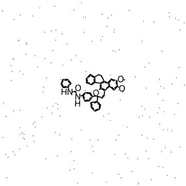 COc1cc2c3c(c4c(c2cc1OC)CCc1ccccc1-4)OC(c1ccccc1)(c1ccc(NC(=O)Nc2ccccc2)cc1)C=C3